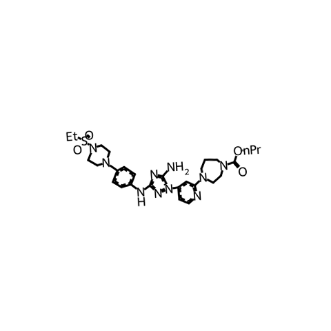 CCCOC(=O)N1CCCN(c2cc(-n3nc(Nc4ccc(N5CCN(S(=O)(=O)CC)CC5)cc4)nc3N)ccn2)CC1